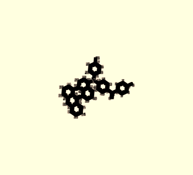 C=C(c1ccc(C)cc1)c1ccc(N(c2ccc(C)cc2)c2ccc3c4cccc5cc6ccccc6c(c6cccc2c36)c54)cc1